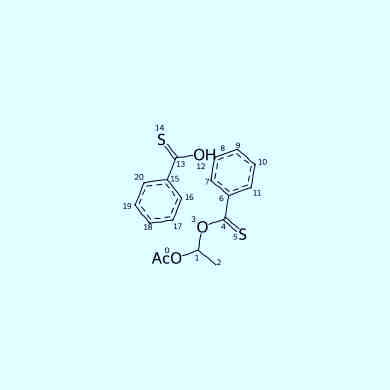 CC(=O)OC(C)OC(=S)c1ccccc1.OC(=S)c1ccccc1